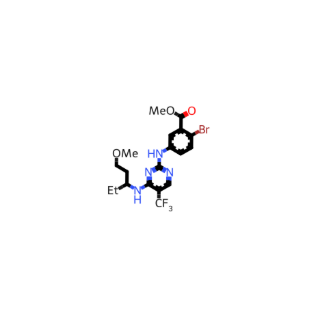 CCC(CCOC)Nc1nc(Nc2ccc(Br)c(C(=O)OC)c2)ncc1C(F)(F)F